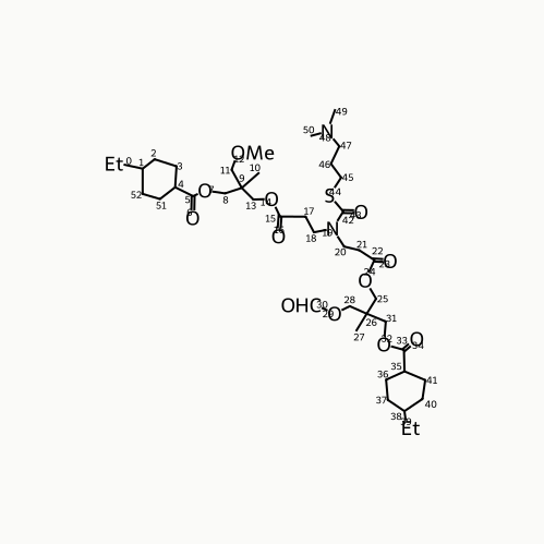 CCC1CCC(C(=O)OCC(C)(COC)COC(=O)CCN(CCC(=O)OCC(C)(COC=O)COC(=O)C2CCC(CC)CC2)C(=O)SCCCN(C)C)CC1